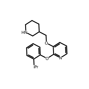 CC(C)c1ccccc1Oc1ncccc1OCC1CCCNC1